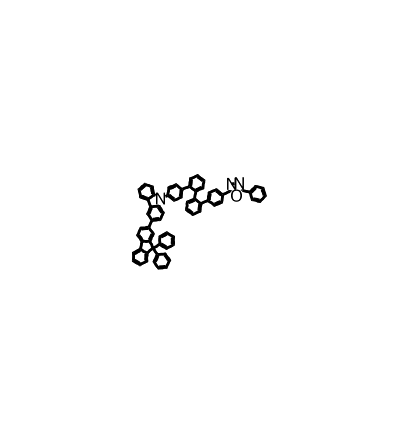 c1ccc(-c2nnc(-c3ccc(-c4ccccc4-c4ccccc4-c4ccc(-n5c6ccccc6c6cc(-c7ccc8c(c7)C(c7ccccc7)(c7ccccc7)c7ccccc7-8)ccc65)cc4)cc3)o2)cc1